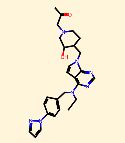 CCN(Cc1ccc(-n2cccn2)cc1)c1ncnc2c1ccn2CC1CCN(CC(C)=O)CC1O